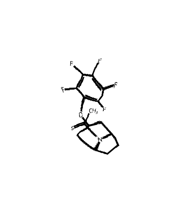 CC(=S)N1C2CCC1CC(Oc1c(F)c(F)c(F)c(F)c1F)C2